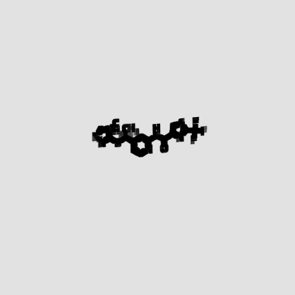 C[C@H](Sc1nncn1C)c1ccnc(NC(=O)c2csc(C(F)(F)F)n2)c1